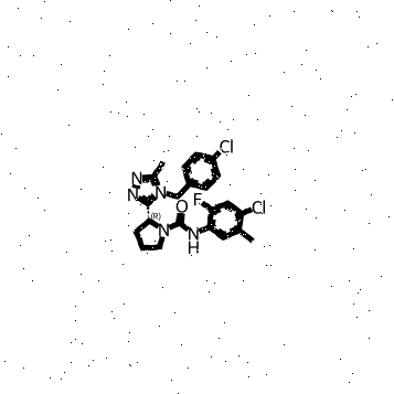 Cc1cc(NC(=O)N2CCC[C@@H]2c2nnc(C)n2Cc2ccc(Cl)cc2)c(F)cc1Cl